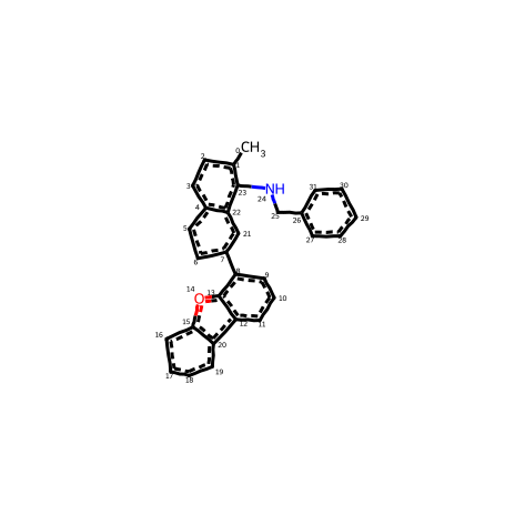 Cc1ccc2ccc(-c3cccc4c3oc3ccccc34)cc2c1NCc1ccccc1